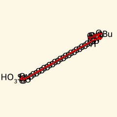 CC(C)(C)OC(=O)[C@H](Cc1ccc(NC(=O)c2c(Cl)cccc2Cl)cc1)NC(=O)C1(CCNC(=O)CCOCCOCCOCCOCCOCCOCCOCCOCCOCCOCCOCCOCCOCCOCCOCCOCCOCCOCCOCCOCCOCCOCCOCCOCCNC(=O)CCC(=O)ON2C(=O)CC(S(=O)(=O)O)C2=O)CCCC1